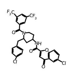 O=C(NC1CCN(C(=O)c2cc(C(F)(F)F)cc(C(F)(F)F)c2)C(Cc2ccc(Cl)cc2)C1)c1cc(=O)c2cc(Cl)ccc2o1